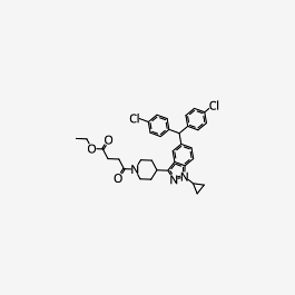 CCOC(=O)CCC(=O)N1CCC(c2nn(C3CC3)c3ccc(C(c4ccc(Cl)cc4)c4ccc(Cl)cc4)cc23)CC1